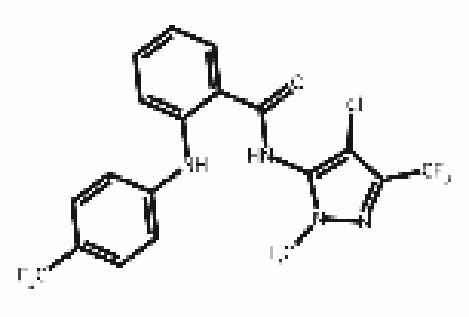 Cn1nc(C(F)(F)F)c(Cl)c1NC(=O)c1ccccc1Nc1ccc(C(F)(F)F)cc1